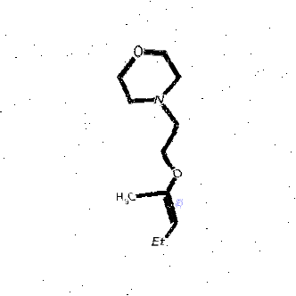 CC/C=C(\C)OCCN1CCOCC1